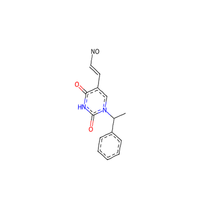 CC(c1ccccc1)n1cc(/C=C/N=O)c(=O)[nH]c1=O